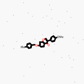 COc1ccc(-c2coc3cc(OCc4ccc(C(C)(C)C)cc4)ccc3c2=O)cc1